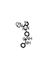 O=C(Nc1ccccc1)Nc1ccc(-c2nc(N3CCOCC3)c3sccc3n2)cc1